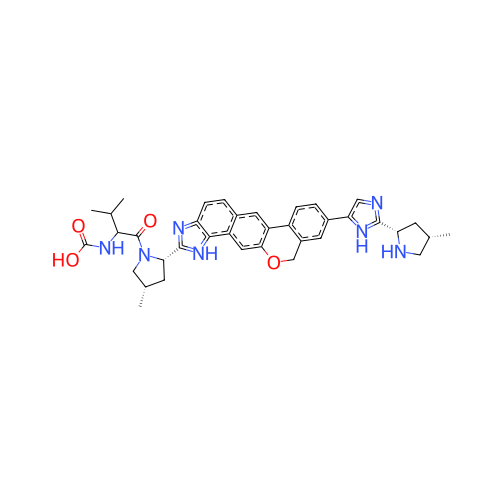 CC(C)C(NC(=O)O)C(=O)N1C[C@@H](C)C[C@H]1c1nc2ccc3cc4c(cc3c2[nH]1)OCc1cc(-c2cnc([C@@H]3C[C@H](C)CN3)[nH]2)ccc1-4